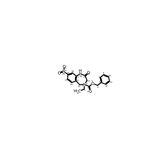 CC[N+]1(C(=O)OCc2ccccc2)CC(=O)Nc2cc([N+](=O)[O-])ccc2C1